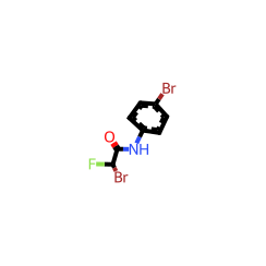 O=C(Nc1ccc(Br)cc1)C(F)Br